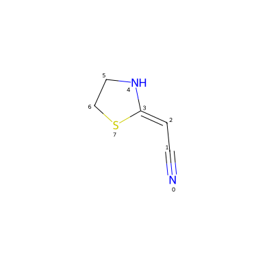 N#CC=C1NCCS1